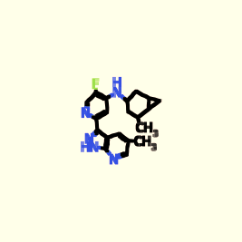 Cc1cnc2[nH]nc(-c3cc(NC4CC(C)C5CC5C4)c(F)cn3)c2c1